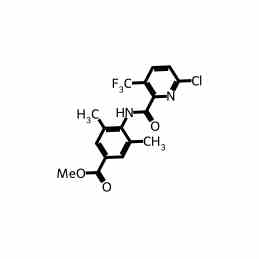 COC(=O)c1cc(C)c(NC(=O)c2nc(Cl)ccc2C(F)(F)F)c(C)c1